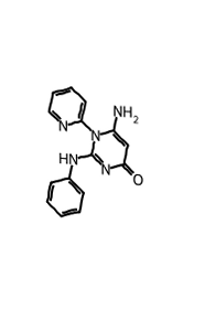 Nc1cc(=O)nc(Nc2ccccc2)n1-c1ccccn1